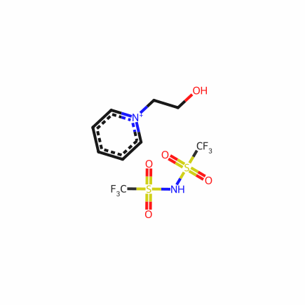 O=S(=O)(NS(=O)(=O)C(F)(F)F)C(F)(F)F.OCC[n+]1ccccc1